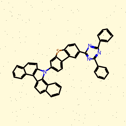 c1ccc(-c2nc(-c3ccccc3)nc(-c3ccc4sc5cc(-n6c7ccc8ccccc8c7c7ccc8ccccc8c76)ccc5c4c3)n2)cc1